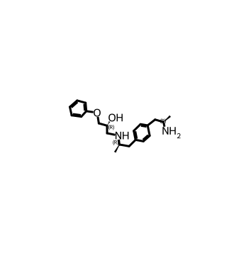 C[C@H](Cc1ccc(C[C@@H](C)N)cc1)NC[C@@H](O)COc1ccccc1